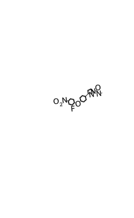 CN(C)C(=O)n1ccc(-c2ccc(Oc3ccc([N+](=O)[O-])cc3F)cc2)n1